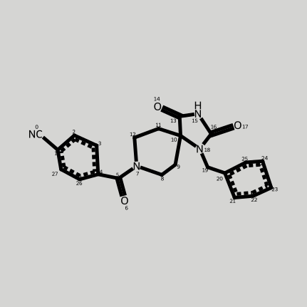 N#Cc1ccc(C(=O)N2CCC3(CC2)C(=O)NC(=O)N3Cc2ccccc2)cc1